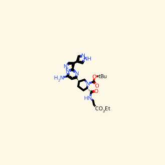 CCOC(=O)CCNC(=O)[C@@H]1CC[C@H](c2cc(N)n3ncc(-c4cn[nH]c4)c3n2)CN1C(=O)OC(C)(C)C